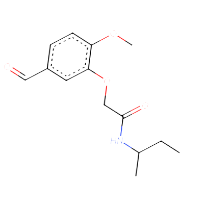 CCC(C)NC(=O)COc1cc(C=O)ccc1OC